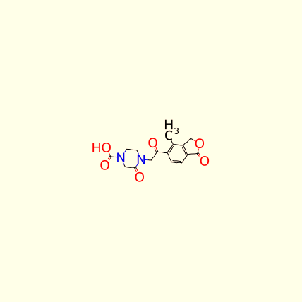 Cc1c(C(=O)CN2CCN(C(=O)O)CC2=O)ccc2c1COC2=O